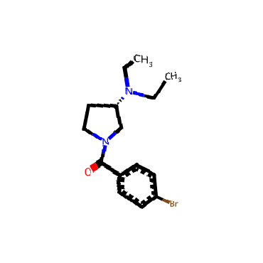 CCN(CC)[C@H]1CCN(C(=O)c2ccc(Br)cc2)C1